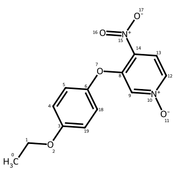 CCOc1ccc(Oc2c[n+]([O-])ccc2[N+](=O)[O-])cc1